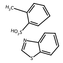 Cc1ccccc1S(=O)(=O)O.c1ccc2scnc2c1